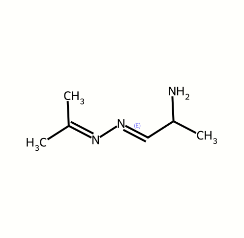 CC(C)=N/N=C/C(C)N